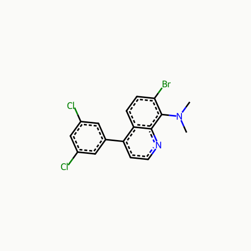 CN(C)c1c(Br)ccc2c(-c3cc(Cl)cc(Cl)c3)ccnc12